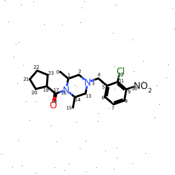 CC1CN(Cc2cccc([N+](=O)[O-])c2Cl)CC(C)N1C(=O)C1CCCC1